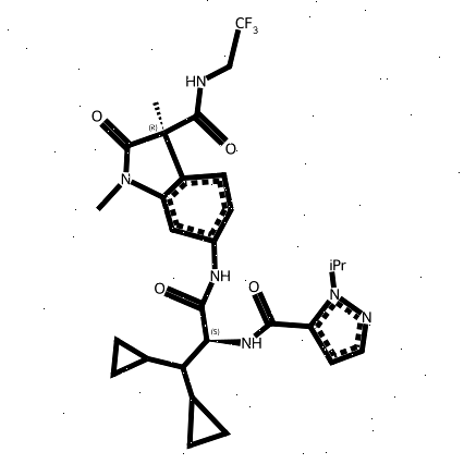 CC(C)n1nccc1C(=O)N[C@H](C(=O)Nc1ccc2c(c1)N(C)C(=O)[C@@]2(C)C(=O)NCC(F)(F)F)C(C1CC1)C1CC1